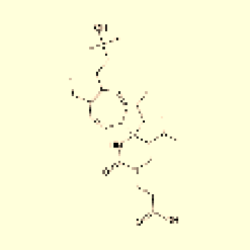 CCCC1([C@@H]2C=CC(CC)=C(CCC(C)(C)O)C=C2)NC(=O)N(CCC(=O)O)C=C1C(C)C